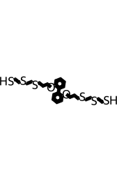 SCCSCCSCCCOc1ccccc1-c1ccccc1OCCCSCCSCCS